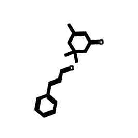 CC1=CC(=O)CC(C)(C)C1.O=CC=Cc1ccccc1